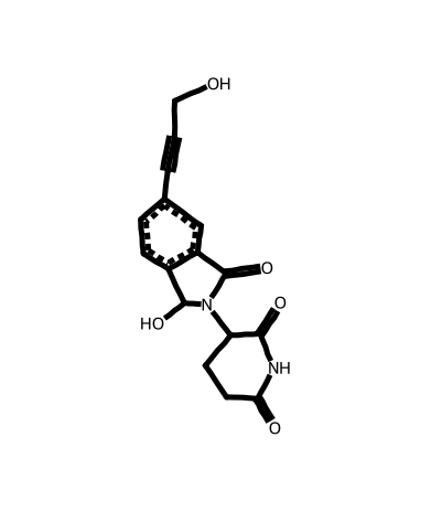 O=C1CCC(N2C(=O)c3cc(C#CCO)ccc3C2O)C(=O)N1